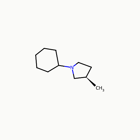 C[C@@H]1CCN(C2CCCCC2)C1